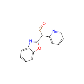 O=[S+]C(c1ccccn1)c1nc2ccccc2o1